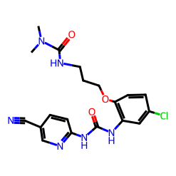 CN(C)C(=O)NCCCOc1ccc(Cl)cc1NC(=O)Nc1ccc(C#N)cn1